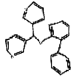 c1ccc(-c2ccccc2OC(c2cccnc2)c2cccnc2)cc1